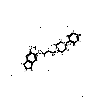 Oc1cc2c(cc1OCCCN1CCN(c3ccccc3)CC1)CCC2